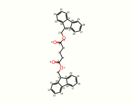 O=C(CCCC(=O)OCC1c2ccccc2-c2ccccc21)OCC1c2ccccc2-c2ccccc21